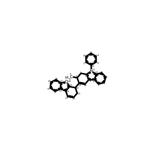 CC1Cc2c(c3ccccc3n2-c2ccccc2)C=C1C1CC=Cc2c1oc1ccccc21